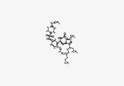 CCCCCCC(CC)c1nc(C)c2c(=O)[nH]c(-c3cc(NS(=O)(=O)N4CCN(CC)CC4)ccc3OCC)nn12